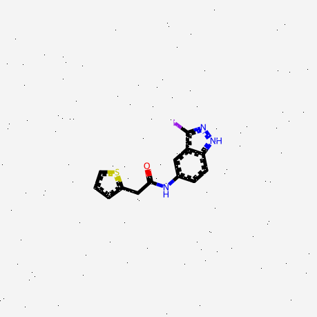 O=C(Cc1cccs1)Nc1ccc2[nH]nc(I)c2c1